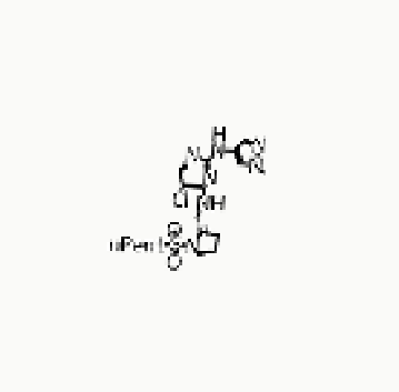 CCCCCS(=O)(=O)N1CCC[C@H]1CNc1nc(Nc2cnn(C)c2)ncc1Cl